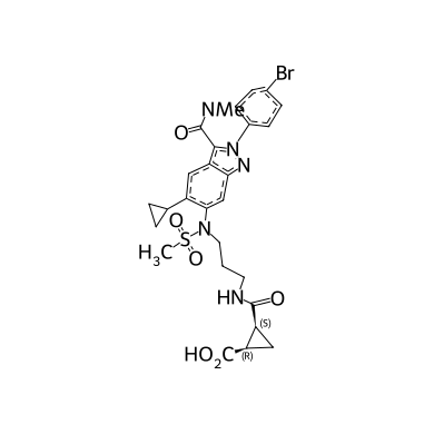 CNC(=O)c1c2cc(C3CC3)c(N(CCCNC(=O)[C@H]3C[C@H]3C(=O)O)S(C)(=O)=O)cc2nn1-c1ccc(Br)cc1